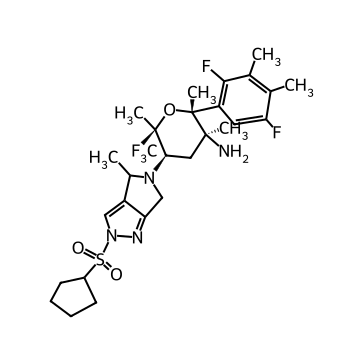 Cc1c(F)cc([C@@]2(C)O[C@](C)(C(F)(F)F)[C@H](N3Cc4nn(S(=O)(=O)C5CCCC5)cc4C3C)C[C@]2(C)N)c(F)c1C